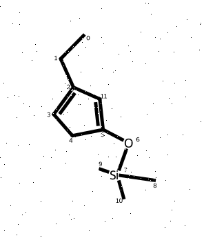 CCC1=CCC(O[Si](C)(C)C)=C1